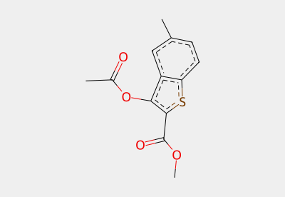 COC(=O)c1sc2ccc(C)cc2c1OC(C)=O